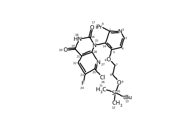 CC(C)c1nccc(OCCO[Si](C)(C)C(C)(C)C)c1-n1c(=O)[nH]c(=O)c2cc(F)c(Cl)nc21